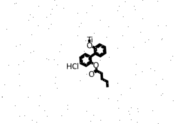 CCCCC(=O)Oc1ccccc1-c1ccccc1[O][Ti].Cl